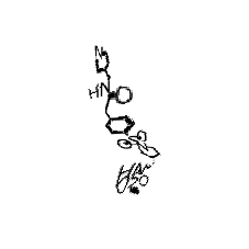 C=CS(=O)(=O)NC[C@H]1CCN(S(=O)(=O)c2ccc(CC(=O)NCc3ccncc3)cc2)C1